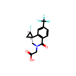 O=C(O)CN1C[C@@]2(C[C@@H]2F)c2cc(C(F)(F)F)ccc2C1=O